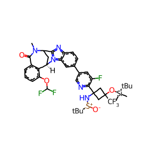 CN1C(=O)c2cccc(OC(F)F)c2[C@H]2CC1c1nc3ccc(-c4cnc(C5(N[S@@+]([O-])C(C)(C)C)CC(O[Si](C)(C)C(C)(C)C)(C(F)(F)F)C5)c(F)c4)cc3n12